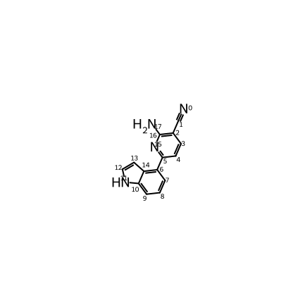 N#Cc1ccc(-c2cccc3[nH]ccc23)nc1N